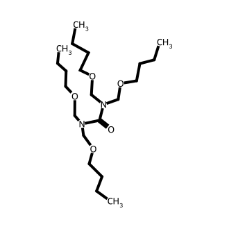 CCCCOCN(COCCCC)C(=O)N(COCCCC)COCCCC